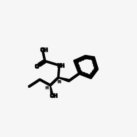 CC[C@@H](O)[C@H](Cc1ccccc1)NC(=O)O